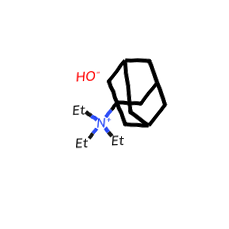 CC[N+](CC)(CC)C12CC3CC(CC(C3)C1)C2.[OH-]